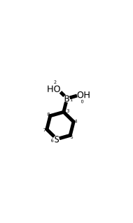 OB(O)C1CCSCC1